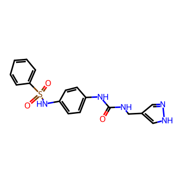 O=C(NCc1cn[nH]c1)Nc1ccc(NS(=O)(=O)c2ccccc2)cc1